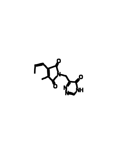 C/C=C\C1=C(C)C(=O)N(Cc2nnc[nH]c2=O)C1=O